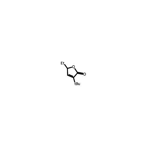 CCC1C=C(C(C)(C)C)C(=O)O1